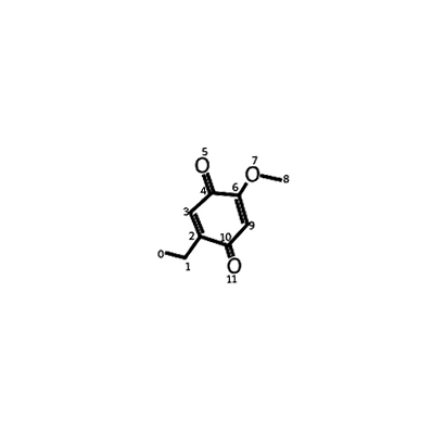 CCC1=CC(=O)C(OC)=CC1=O